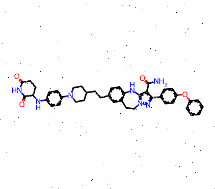 NC(=O)c1c(-c2ccc(Oc3ccccc3)cc2)nn2c1Nc1ccc(CCC3CCN(c4ccc(NC5CCC(=O)NC5=O)cc4)CC3)cc1CC2